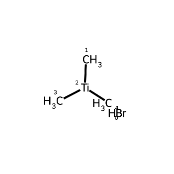 Br.[CH3][Ti]([CH3])[CH3]